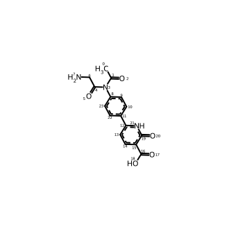 CC(=O)N(C(=O)CN)c1ccc(-c2ccc(C(=O)O)c(=O)[nH]2)cc1